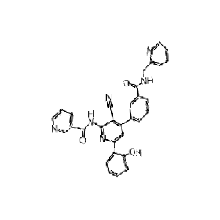 N#Cc1c(-c2cccc(C(=O)NCc3ccccn3)c2)cc(-c2ccccc2O)nc1NC(=O)c1cccnc1